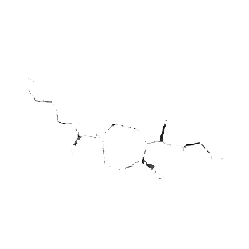 CCCCOC(=O)N1CCC(=O)C(C(=O)OCC)CC1